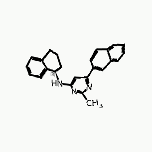 Cc1nc(N[C@@H]2CCCc3ccccc32)cc(-c2ccc3ccccc3c2)n1